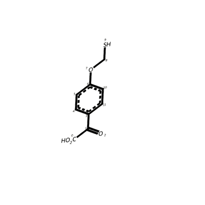 O=C(O)C(=O)c1ccc(OCS)cc1